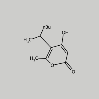 CCCCC(C)c1c(O)cc(=O)oc1C